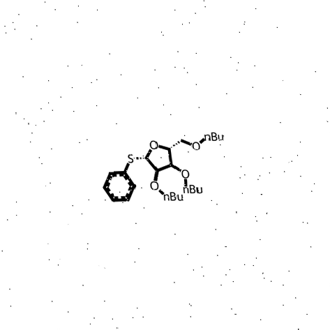 CCCCOC[C@H]1O[C@@H](Sc2ccccc2)C(OCCCC)C1OCCCC